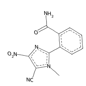 Cn1c(-c2ccccc2C(N)=O)nc([N+](=O)[O-])c1C#N